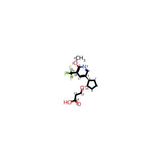 COc1ncc([C@H]2CCC[C@@H]2OCCC(=O)O)cc1C(F)(F)F